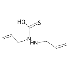 C=CCNN(CC=C)C(O)=S